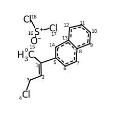 CC(=CCCl)c1ccc2ccccc2c1.[O-][S+](Cl)Cl